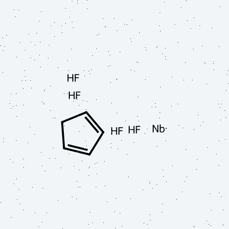 C1=CCC=C1.F.F.F.F.[Nb]